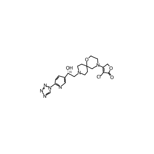 O=C1OCC(N2CCOC3(CCN(C[C@@H](O)c4ccc(-n5cnnn5)nc4)CC3)C2)=C1Cl